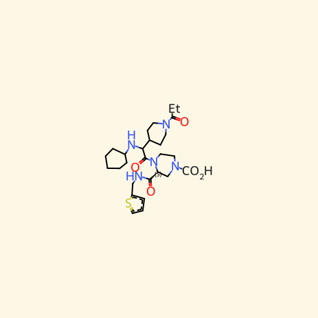 CCC(=O)N1CCC(C(NC2CCCCC2)C(=O)N2CCN(C(=O)O)C[C@H]2C(=O)NCc2cccs2)CC1